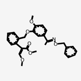 COC=C(C(=O)OC)c1ccccc1COc1cc(C(C)=NOCc2ccccc2)ccc1OC